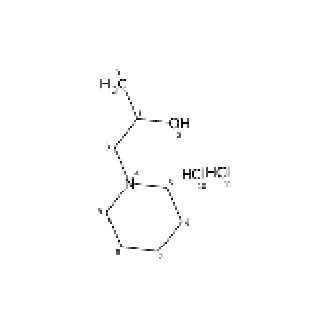 CC(O)[CH]N1CCCCC1.Cl.Cl